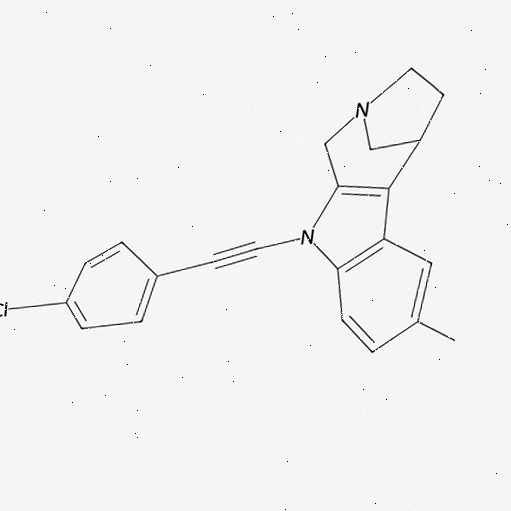 Cc1ccc2c(c1)c1c(n2C#Cc2ccc(Cl)cc2)CN2CCC1C2